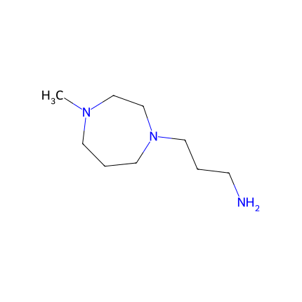 CN1CCCN(CCCN)CC1